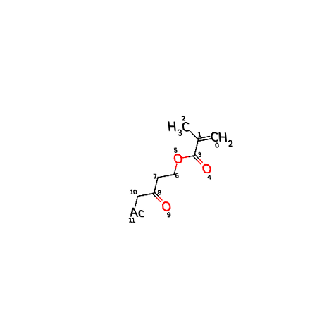 C=C(C)C(=O)OCCC(=O)CC(C)=O